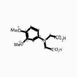 COc1ccc(N(CC(=O)O)CC(=O)O)cc1OC